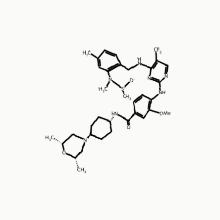 COc1cc(C(=O)N[C@H]2CC[C@H](N3C[C@@H](C)O[C@@H](C)C3)CC2)ccc1Nc1ncc(C(F)(F)F)c(NCc2ccc(C)cc2N(C)[S+](C)[O-])n1